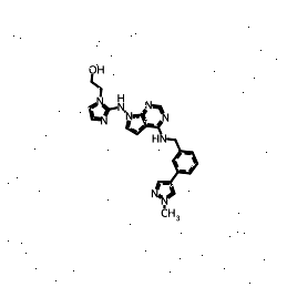 Cn1cc(-c2cccc(CNc3ncnc4c3ccn4Nc3nccn3CCO)c2)cn1